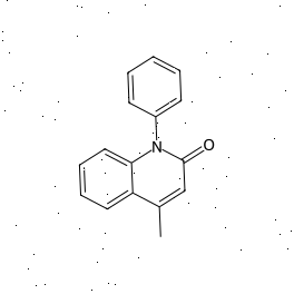 Cc1cc(=O)n(-c2ccccc2)c2ccccc12